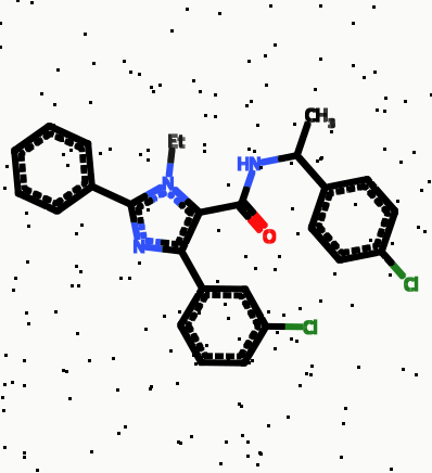 CCn1c(-c2ccccc2)nc(-c2cccc(Cl)c2)c1C(=O)NC(C)c1ccc(Cl)cc1